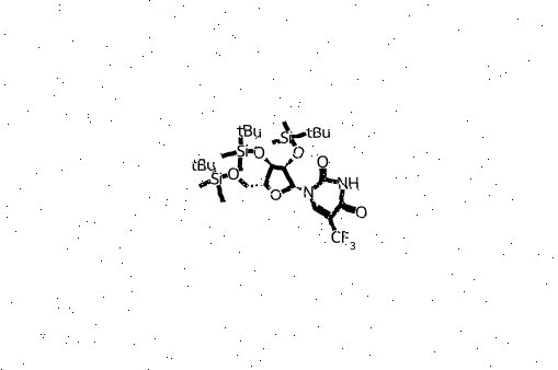 CC(C)(C)[Si](C)(C)OC[C@H]1O[C@@H](n2cc(C(F)(F)F)c(=O)[nH]c2=O)[C@H](O[Si](C)(C)C(C)(C)C)[C@@H]1O[Si](C)(C)C(C)(C)C